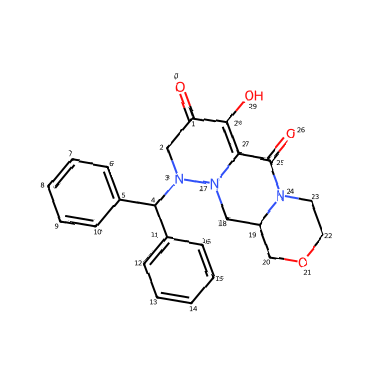 O=C1CN(C(c2ccccc2)c2ccccc2)N2CC3COCCN3C(=O)C2=C1O